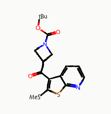 CSc1sc2ncccc2c1C(=O)C1CN(C(=O)OC(C)(C)C)C1